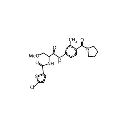 COCC(NC(=O)c1ccc(Cl)s1)C(=O)Nc1ccc(C(=O)N2CCCC2)c(C)c1